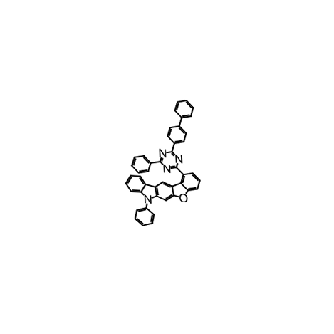 c1ccc(-c2ccc(-c3nc(-c4ccccc4)nc(-c4cccc5oc6cc7c(cc6c45)c4ccccc4n7-c4ccccc4)n3)cc2)cc1